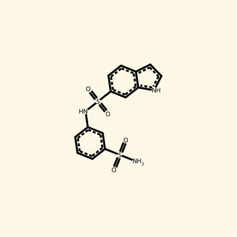 NS(=O)(=O)c1cccc(NS(=O)(=O)c2ccc3cc[nH]c3c2)c1